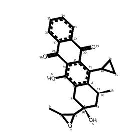 CC1OC1[C@]1(O)Cc2c(O)c3c(c(C4CC4)c2[C@@H](C)C1)C(=O)c1ccccc1C3=O